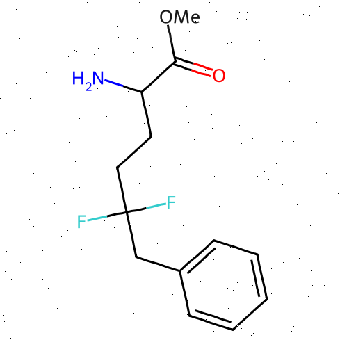 COC(=O)C(N)CCC(F)(F)Cc1ccccc1